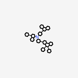 c1ccc(-c2ccc(N(c3ccc(-c4cc5ccccc5c5ccccc45)cc3)c3cccc(-c4ccc5c(c4)c(-c4ccccc4)c(-c4ccccc4)c4ccccc45)c3)c3ccccc23)cc1